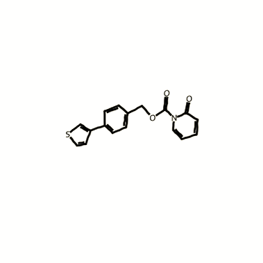 O=C(OCc1ccc(-c2ccsc2)cc1)n1ccccc1=O